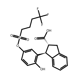 O=C(O)[C@@H]1Cc2ccccc2[C@H]1c1cc(OS(=O)(=O)CCCC(F)(F)F)ccc1O